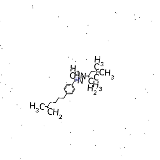 C=C(C)CCCCc1ccc(/C(C)=N/NC(=C)CC(C)(C)C)cc1